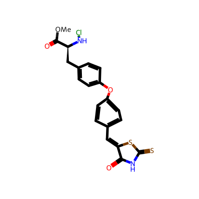 COC(=O)[C@H](Cc1ccc(Oc2ccc(/C=C3\SC(=S)NC3=O)cc2)cc1)NCl